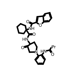 CC(C)C(=O)Nc1ccccc1N1CCC(NC(=O)C2(NC(=O)c3cc4ccccc4o3)CCCCC2)C(=O)C1